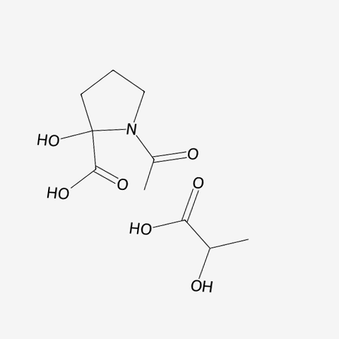 CC(=O)N1CCCC1(O)C(=O)O.CC(O)C(=O)O